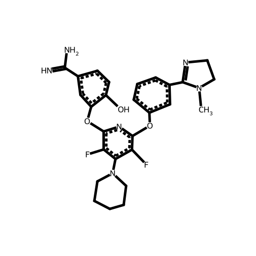 CN1CCN=C1c1cccc(Oc2nc(Oc3cc(C(=N)N)ccc3O)c(F)c(N3CCCCC3)c2F)c1